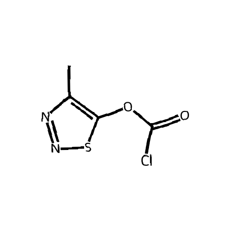 Cc1nnsc1OC(=O)Cl